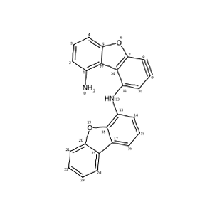 Nc1cccc2oc3c#ccc(Nc4cccc5c4oc4ccccc45)c3c12